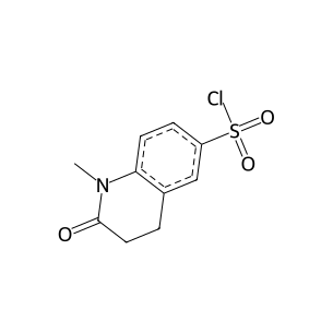 CN1C(=O)CCc2cc(S(=O)(=O)Cl)ccc21